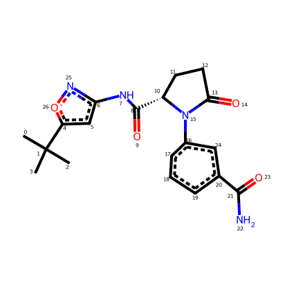 CC(C)(C)c1cc(NC(=O)[C@@H]2CCC(=O)N2c2cccc(C(N)=O)c2)no1